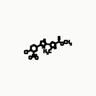 COC(=S)c1cc(-c2nc(-c3ccc(Cl)c([N+](=O)[O-])c3)cs2)c(C)s1